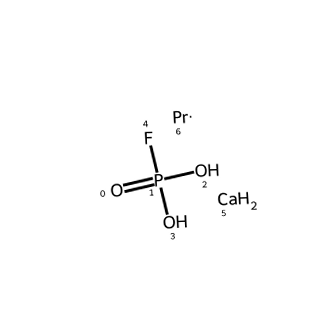 O=P(O)(O)F.[CaH2].[Pr]